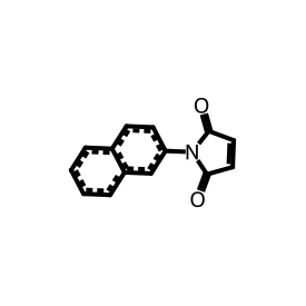 O=C1C=CC(=O)N1c1ccc2ccccc2c1